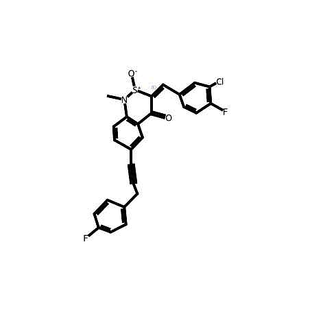 CN1c2ccc(C#CCc3ccc(F)cc3)cc2C(=O)/C(=C\c2ccc(F)c(Cl)c2)[S+]1[O-]